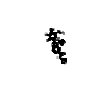 COc1cc(-c2nc3ccc(C(=O)NC4COC4)cc3n2C2(C)COC2)c(F)c(O)c1O